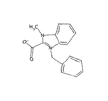 Cn1c(C(=O)[O-])[n+](Cc2ccccc2)c2ccccc21